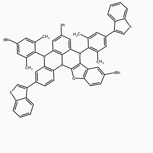 Cc1cc(C(C)(C)C)cc(C)c1N1c2cc(-c3csc4ccccc34)ccc2B2c3oc4ccc(C(C)(C)C)cc4c3N(c3c(C)cc(-c4csc5ccccc45)cc3C)c3cc(C(C)C)cc1c32